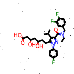 CCN(Cc1ccc(F)c(F)c1)C(=O)c1nn(-c2ccc(F)cc2)c(CCC(O)CC(O)CC(=O)O)c1C(C)C